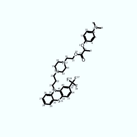 CC(Oc1ccc(N(C)C)cc1)C(=O)OCCN1CCN(CCCN2c3ccccc3Sc3ccc(C(F)(F)F)cc32)CC1